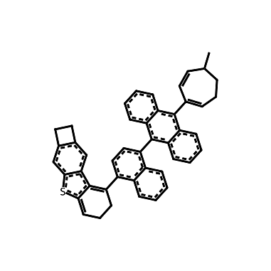 CC1C=CC(c2c3ccccc3c(-c3ccc(C4=c5c(sc6cc7c(cc56)CC7)=CCC4)c4ccccc34)c3ccccc23)=CCC1